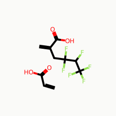 C=C(CC(F)(F)C(F)C(F)(F)F)C(=O)O.C=CC(=O)O